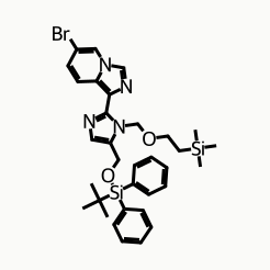 CC(C)(C)[Si](OCc1cnc(-c2ncn3cc(Br)ccc23)n1COCC[Si](C)(C)C)(c1ccccc1)c1ccccc1